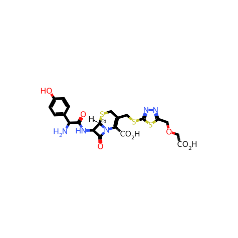 NC(C(=O)NC1C(=O)N2C(C(=O)O)=C(CSc3nnc(COCC(=O)O)s3)CS[C@H]12)c1ccc(O)cc1